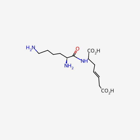 NCCCC[C@H](N)C(=O)NC(CC=CCC(=O)O)C(=O)O